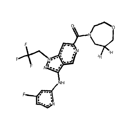 [2H]C1([2H])COCCN(C(=O)c2cc3c(cn2)c(Nc2cc(F)ccn2)nn3CC(F)(F)F)C1